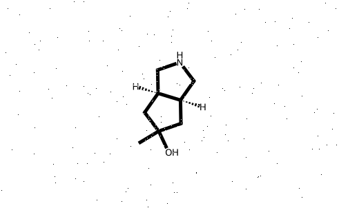 CC1(O)C[C@H]2CNC[C@H]2C1